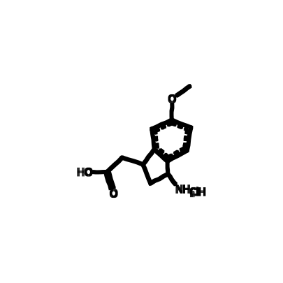 COc1ccc2c(c1)C(CC(=O)O)CC2N.Cl